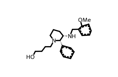 COc1ccccc1CN[C@H]1CCCN(CCCCO)[C@H]1c1ccccc1